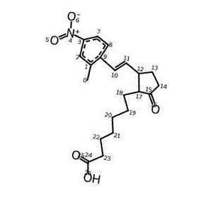 Cc1cc([N+](=O)[O-])ccc1/C=C/C1CCC(=O)C1CCCCCCC(=O)O